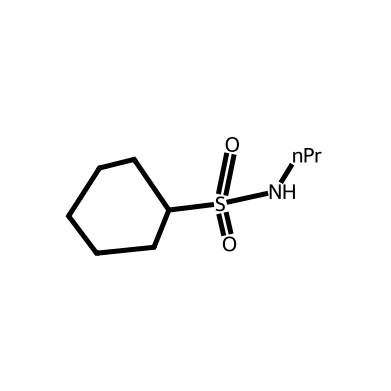 CCCNS(=O)(=O)C1CCCCC1